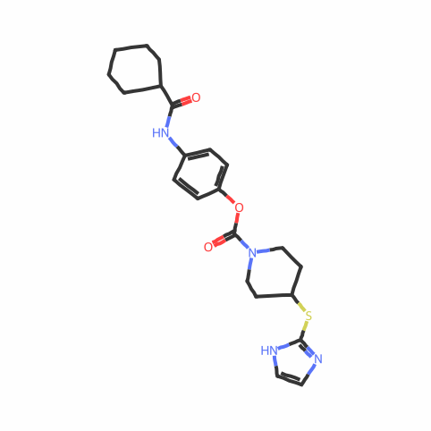 O=C(Nc1ccc(OC(=O)N2CCC(Sc3ncc[nH]3)CC2)cc1)C1CCCCC1